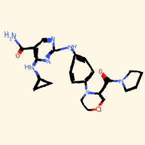 NC(=O)c1cnc(Nc2ccc(N3CCOCC3C(=O)N3CCCC3)cc2)nc1NC1CC1